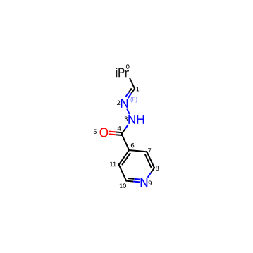 CC(C)/C=N/NC(=O)c1ccncc1